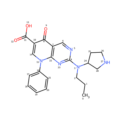 CCCN(c1ncc2c(=O)c(C(=O)O)cn(-c3ccccc3)c2n1)C1CCNC1